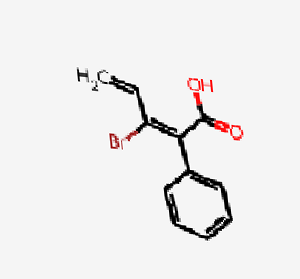 C=CC(Br)=C(C(=O)O)c1ccccc1